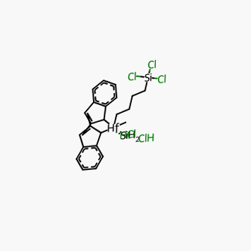 CC1=Cc2ccccc2[CH]1[Hf]([CH3])(=[SiH2])([CH2]CCC[Si](Cl)(Cl)Cl)[CH]1C(C)=Cc2ccccc21.Cl.Cl